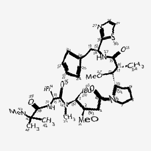 CC[C@H](C)[C@@H]([C@@H](CC(=O)N1CCC[C@H]1C(OC)[C@@H](C)C(=O)N[C@@H](Cc1ccccc1)c1nccs1)OC)N(C)C(=O)[C@@H](NC(=O)C(C)(C)NC)C(C)C